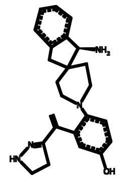 C=C(C1=NNCC1)c1cc(O)ccc1N1CCC2(CC1)Cc1ccccc1[C@H]2N